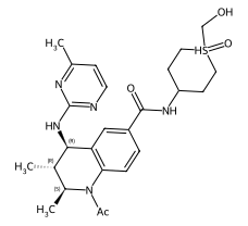 CC(=O)N1c2ccc(C(=O)NC3CC[SH](=O)(CO)CC3)cc2[C@H](Nc2nccc(C)n2)[C@@H](C)[C@@H]1C